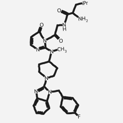 CC(C)CC(N)C(=O)NCC(=O)n1c(N(C)C2CCN(c3nc4ccccc4n3Cc3ccc(F)cc3)CC2)nccc1=O